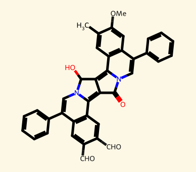 COc1cc2c(cc1C)C1=C3C(=C4c5cc(C=O)c(C=O)cc5C(c5ccccc5)=CN4C3O)C(=O)N1C=C2c1ccccc1